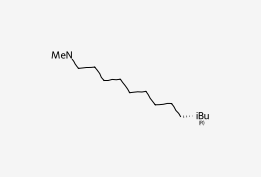 CC[C@@H](C)CCCCCCCCCNC